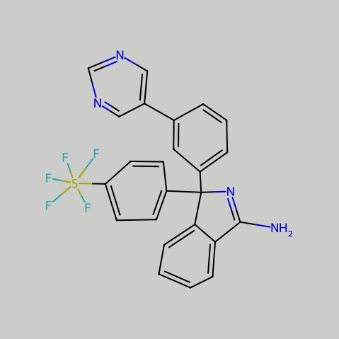 NC1=NC(c2ccc(S(F)(F)(F)(F)F)cc2)(c2cccc(-c3cncnc3)c2)c2ccccc21